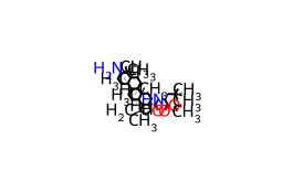 C=C(C)[C@@H]1CC[C@]2(C(=O)N[C@@H](CC(C)C)C(=O)OC)CC[C@]3(C)[C@H](CC[C@@H]4[C@@]5(C)CC[C@H](N)C(C)(C)[C@@H]5CC[C@]43C)[C@@H]12